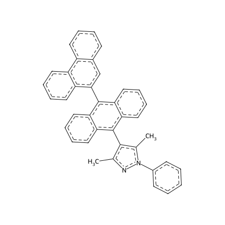 Cc1nn(-c2ccccc2)c(C)c1-c1c2ccccc2c(-c2cc3ccccc3c3ccccc23)c2ccccc12